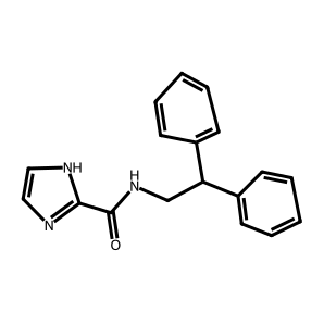 O=C(NCC(c1ccccc1)c1ccccc1)c1ncc[nH]1